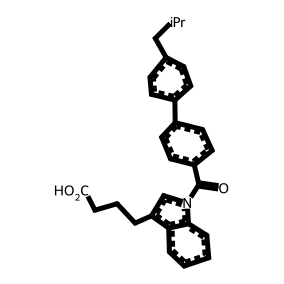 CC(C)Cc1ccc(-c2ccc(C(=O)n3cc(CCCC(=O)O)c4ccccc43)cc2)cc1